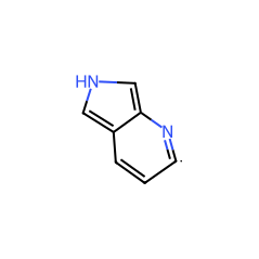 [c]1ccc2c[nH]cc2n1